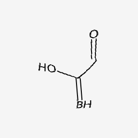 B=C(O)C=O